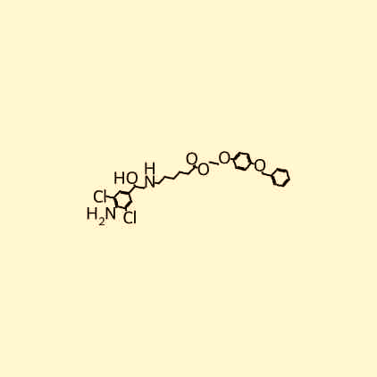 Nc1c(Cl)cc(C(O)CNCCCCCC(=O)OCCOc2ccc(OCc3ccccc3)cc2)cc1Cl